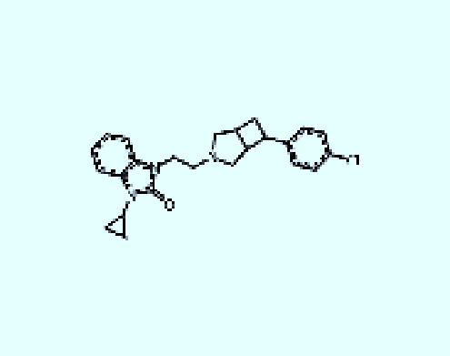 O=c1n(CCN2CC3CC(c4ccc(Cl)cc4)C3C2)c2ccccc2n1C1CC1